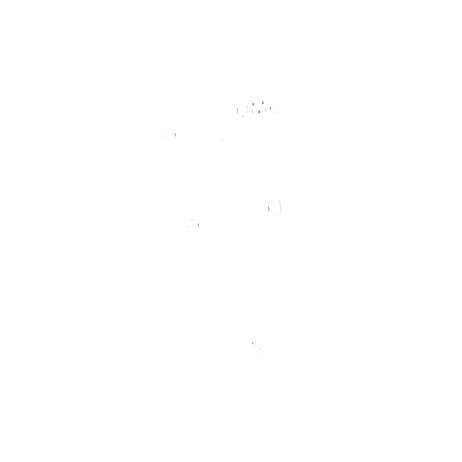 COC(=O)C(Cl)Oc1ccsc1